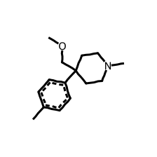 COCC1(c2ccc(C)cc2)CCN(C)CC1